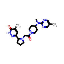 CN(c1ncc(C(F)(F)F)cn1)C1CCN(C(=O)CN2CCCC2c2cc(C(F)(F)F)c(=O)[nH]n2)CC1